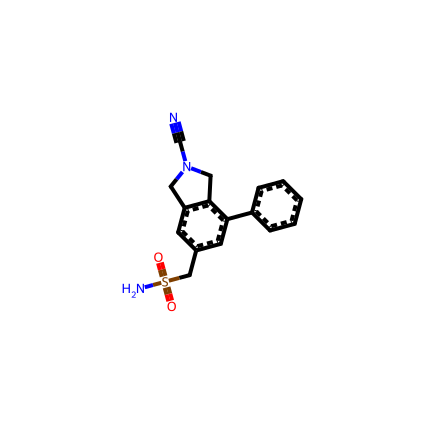 N#CN1Cc2cc(CS(N)(=O)=O)cc(-c3ccccc3)c2C1